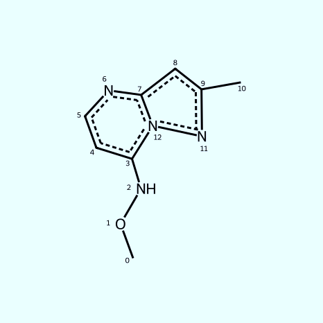 CONc1ccnc2cc(C)nn12